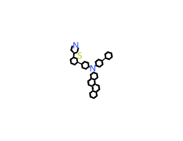 c1ccc(-c2ccc(N(c3ccc(-c4cccc5c4sc4cnccc45)cc3)c3ccc4c(ccc5c6ccccc6ccc45)c3)cc2)cc1